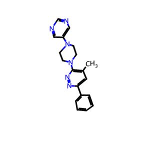 Cc1cc(-c2ccccc2)nnc1N1CCN(c2cncnc2)CC1